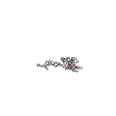 COC(=O)c1ccc2ccn(Cc3ccc(OCCCCCC(=O)N[C@H](C(=O)N4C[C@H](O)C[C@H]4C(=O)N[C@@H](C)c4ccc(-c5scnc5C)cc4)C(C)(C)C)cc3)c2c1